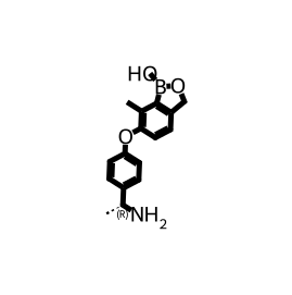 Cc1c(Oc2ccc([C@@H](C)N)cc2)ccc2c1B(O)OC2